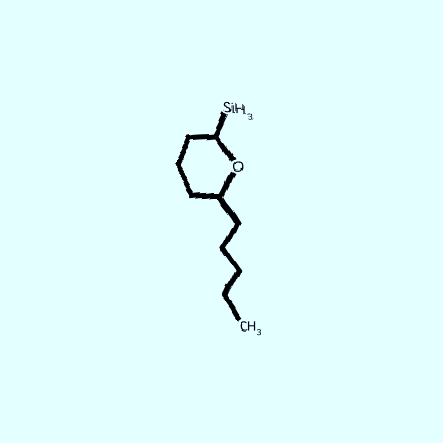 CCCCCC1CCCC([SiH3])O1